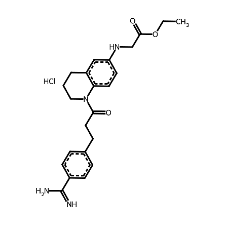 CCOC(=O)CNc1ccc2c(c1)CCCN2C(=O)CCc1ccc(C(=N)N)cc1.Cl